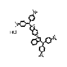 CN(C)c1ccc(C(=C2C=CC(=[N+](C)C)C=C2)c2cc3ccccc3s2)cc1.CN(C)c1ccc(C(=C2C=CC(=[N+](C)C)C=C2)c2csc3ccccc23)cc1.Cl